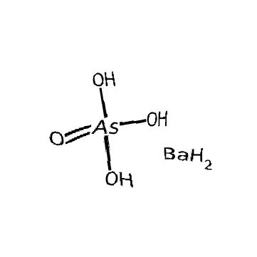 O=[As](O)(O)O.[BaH2]